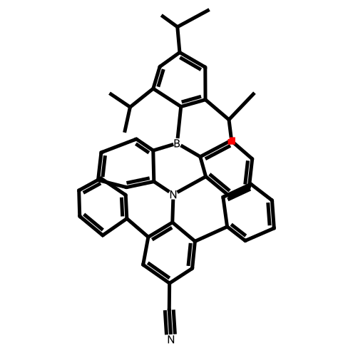 CC(C)c1cc(C(C)C)c(B2c3ccccc3N(c3c(-c4ccccc4)cc(C#N)cc3-c3ccccc3)c3ccccc32)c(C(C)C)c1